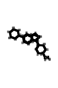 CN1CCC(c2occ3cc(C4CCCCC4)ccc23)CC1